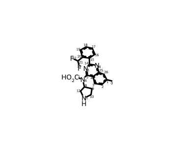 Cc1ccc2c(N(C(=O)O)C3CCNC3)nc(-c3ccccc3C(F)F)nc2c1